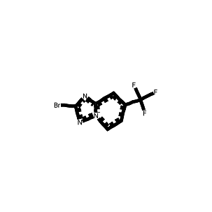 FC(F)(F)c1ccn2nc(Br)nc2c1